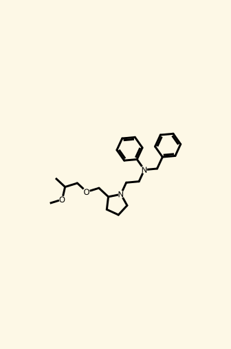 COC(C)COCC1CCCN1CCN(Cc1ccccc1)c1ccccc1